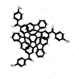 CC(C)(C)c1ccc(C(=O)c2ccc3c(c2)C2(c4ccccc4-c4ccccc42)c2c-3c3c(c4c2-c2ccc(C(=O)c5ccc(C(C)(C)C)cc5)cc2C42c4ccccc4-c4ccccc42)-c2ccc(C(=O)c4ccc(C(C)(C)C)cc4)cc2C32c3ccccc3-c3ccccc32)cc1